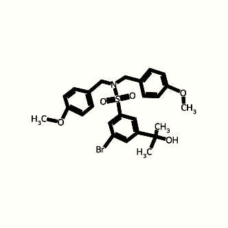 COc1ccc(CN(Cc2ccc(OC)cc2)S(=O)(=O)c2cc(Br)cc(C(C)(C)O)c2)cc1